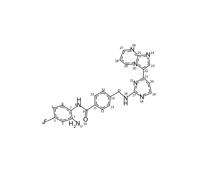 Nc1cc(F)ccc1NC(=O)c1ccc(CNc2nccc(-c3cnc4ncccn34)n2)cc1